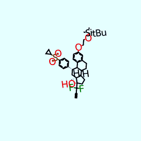 C#CC(F)(F)[C@]1(O)CC[C@H]2[C@@H]3CCc4cc(OCCO[Si](C)(C)C(C)(C)C)ccc4C3[C@@H](c3ccc(S(=O)(=O)C4CC4)cc3)C[C@@]21C